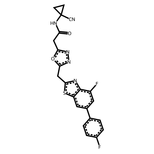 N#CC1(NC(=O)Cc2nnc(Cc3nc4c(F)cc(-c5ccc(F)cc5)cc4s3)o2)CC1